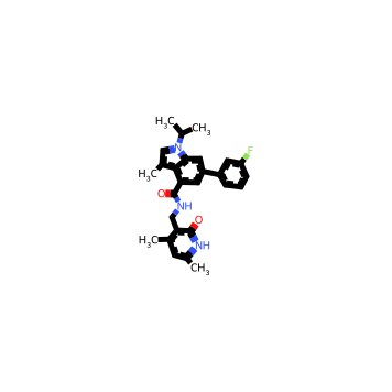 Cc1cc(C)c(CNC(=O)c2cc(-c3cccc(F)c3)cc3c2c(C)cn3C(C)C)c(=O)[nH]1